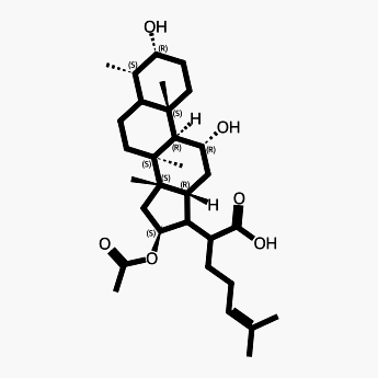 CC(=O)O[C@H]1C[C@@]2(C)[C@H](C[C@@H](O)[C@@H]3[C@@]4(C)CC[C@@H](O)[C@@H](C)C4CC[C@@]32C)C1C(CCC=C(C)C)C(=O)O